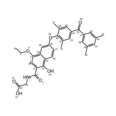 CCOc1nc(C(=O)NCC(=O)O)c(O)c2ccc(Oc3c(C)cc(C(=O)c4cc(C)cc(C)c4)cc3C)cc12